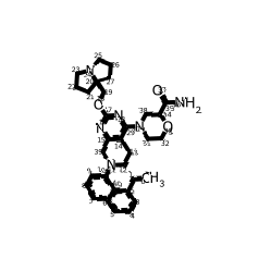 CCc1cccc2cccc(N3CCc4c(nc(OCC56CCCN5CCC6)nc4N4CCOC(C(N)=O)C4)C3)c12